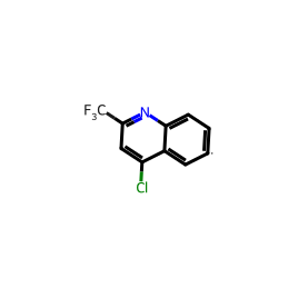 FC(F)(F)c1cc(Cl)c2c[c]ccc2n1